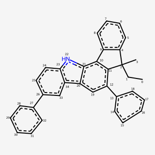 CCC1(C)c2ccccc2-c2c1c(-c1ccccc1)cc1c2[nH]c2ccc(-c3ccccc3)cc21